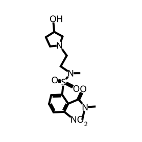 CN(C)C(=O)c1c([N+](=O)[O-])cccc1S(=O)(=O)N(C)CCN1CCC(O)C1